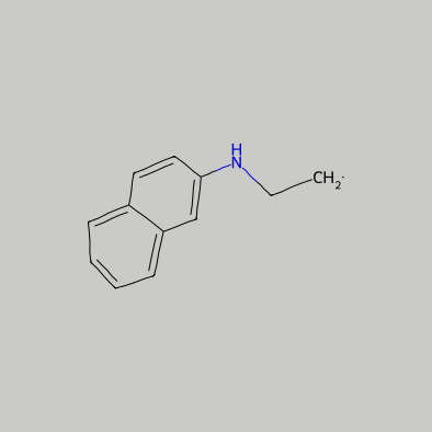 [CH2]CNc1ccc2ccccc2c1